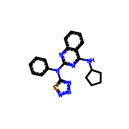 c1ccc(N(c2nc(NC3CCCC3)c3ccccc3n2)c2nnns2)cc1